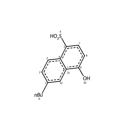 CCCCc1ccc2c(S(=O)(=O)O)ccc(O)c2c1